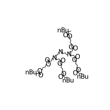 CCCCC(C)C(=O)OCCCCOC(=O)CCN(CCCN(C)CCCN(CCC(=O)OCCCCOC(=O)C(C)CCCC)CCC(=O)OCCCCOC(=O)C(C)CCCC)CCC(=O)OCCCCOC(=O)C(C)CCCC